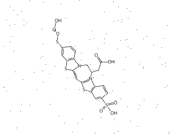 O=C(O)CC1CN2C(=Cc3sc4cc(S(=O)(=O)O)ccc4[n+]31)Sc1cc(SOOO)ccc12